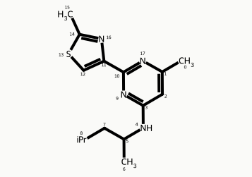 Cc1cc(NC(C)CC(C)C)nc(-c2csc(C)n2)n1